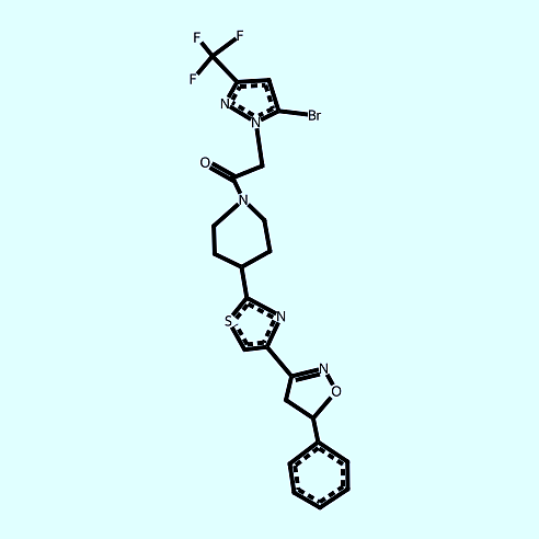 O=C(Cn1nc(C(F)(F)F)cc1Br)N1CCC(c2nc(C3=NOC(c4ccccc4)C3)cs2)CC1